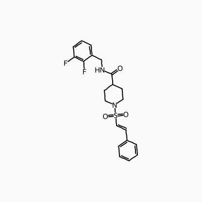 O=C(NCc1cccc(F)c1F)C1CCN(S(=O)(=O)/C=C/c2ccccc2)CC1